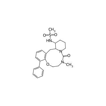 CN1CCOc2c(cccc2-c2ccccc2)CC2C(NS(C)(=O)=O)CCCN2C1=O